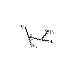 CCCCCCCCCC(CCCCCC)C(=O)OCCCCCCN(CCCCC)CCCCCNC(C)=O